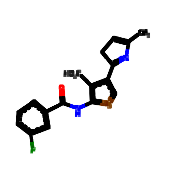 CC1=CCC(c2csc(NC(=O)c3cccc(F)c3)c2C(=O)O)=N1